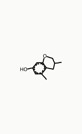 Cc1cc(O)cc2c1CC(C)CO2